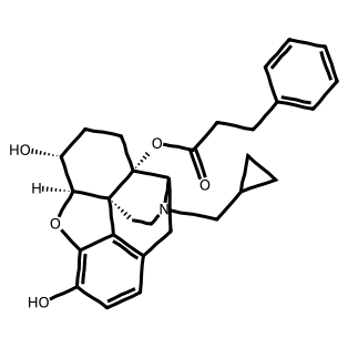 O=C(CCc1ccccc1)O[C@@]12CC[C@@H](O)[C@@H]3Oc4c(O)ccc5c4[C@@]31CCN(CC1CC1)C2C5